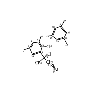 Cc1cc(C)c(Cl)c(C(Cl)(Cl)Cl)c1.Cc1cc(C)cc(C)c1.[Ru].[Ru]